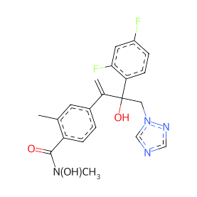 C=C(c1ccc(C(=O)N(C)O)c(C)c1)C(O)(Cn1cncn1)c1ccc(F)cc1F